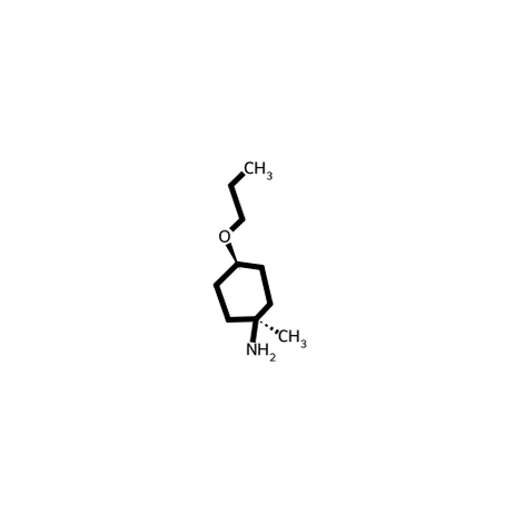 CCCO[C@H]1CC[C@@](C)(N)CC1